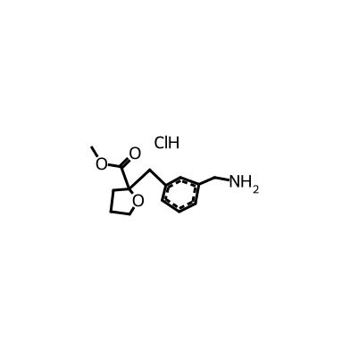 COC(=O)C1(Cc2cccc(CN)c2)CCCO1.Cl